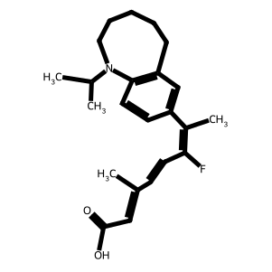 CC(/C=C/C(F)=C(/C)c1ccc2c(c1)CCCCCN2C(C)C)=C\C(=O)O